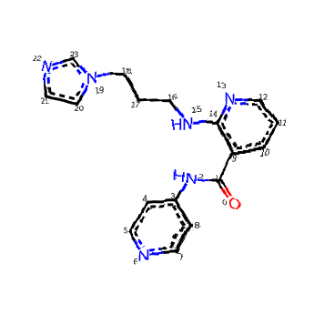 O=C(Nc1ccncc1)c1cccnc1NCCCn1ccnc1